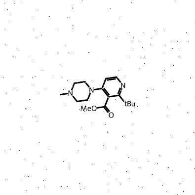 COC(=O)c1c(N2CCN(C)CC2)ccnc1C(C)(C)C